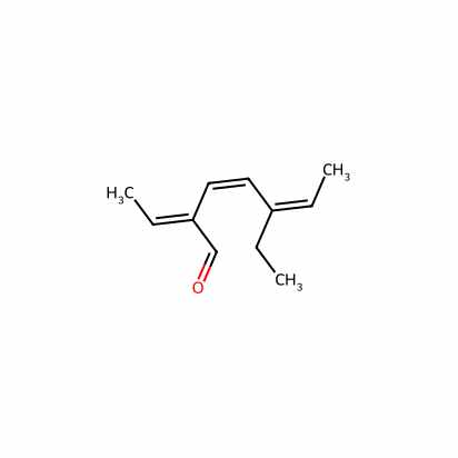 C\C=C(/C=C\C(C=O)=C/C)CC